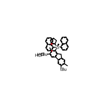 Cl.Cl.[CH2]=[Zr]([C]1=CC=CC1)([c]1c(C)c(C(C)(C)C)cc2c1Cc1cc(C)c(C(C)(C)C)cc1-2)([c]1cccc2ccccc12)[c]1cccc2ccccc12